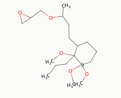 CCCC1(OC)C(CCC(C)OCC2CO2)CCC[Si]1(OC)OC